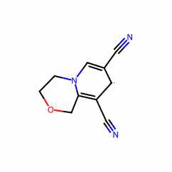 N#CC1=CN2CCOCC2=C(C#N)[CH]1